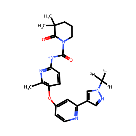 [2H]C([2H])([2H])n1cc(-c2cc(Oc3ccc(NC(=O)N4CCCC(C)(C)C4=O)nc3C)ccn2)cn1